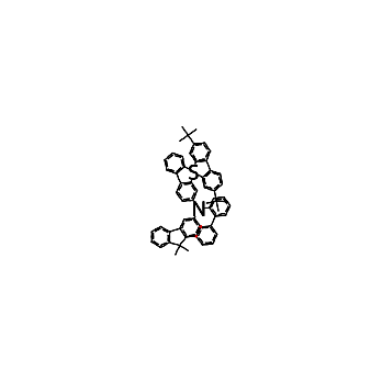 CC(C)(C)c1ccc2c(c1)S1(c3ccccc3-c3ccc(N(c4ccc5c(c4)-c4ccccc4C5(C)C)c4ccccc4-c4ccccc4)cc31)c1cc(C(C)(C)C)ccc1-2